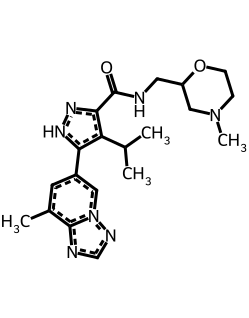 Cc1cc(-c2[nH]nc(C(=O)NCC3CN(C)CCO3)c2C(C)C)cn2ncnc12